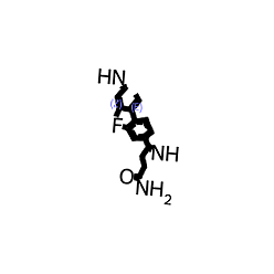 C/C=C(\C(C)=C/C=N)c1ccc(C(=N)CCC(N)=O)cc1F